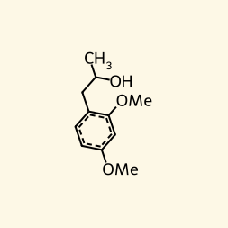 COc1ccc(CC(C)O)c(OC)c1